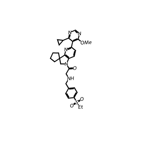 CCS(=O)(=O)c1ccc(CNCC(=O)N2CC3(CCCC3)c3nc(-c4c(OC)ncnc4C4CC4)ccc32)cc1